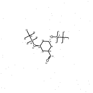 CC(C)(C)[Si](C)(C)O[C@@H]1CC(C=O)C[C@@H](O[Si](C)(C)C(C)(C)C)C1